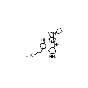 NC1CCC(Nc2nc(NC3CCN(CCCC=O)CC3)c3ncn(C4CCCC4)c3n2)CC1